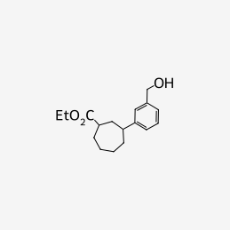 CCOC(=O)C1CCCCC(c2cccc(CO)c2)C1